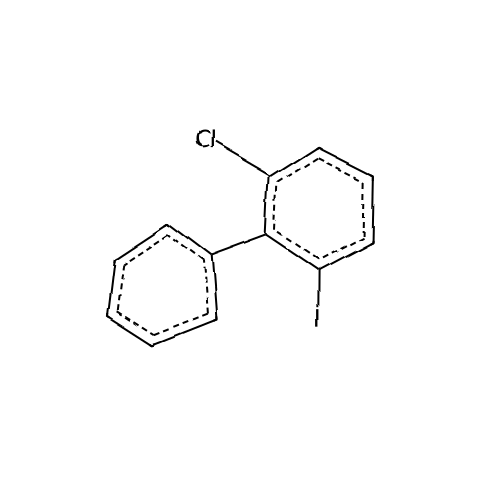 Clc1cccc(I)c1-c1ccccc1